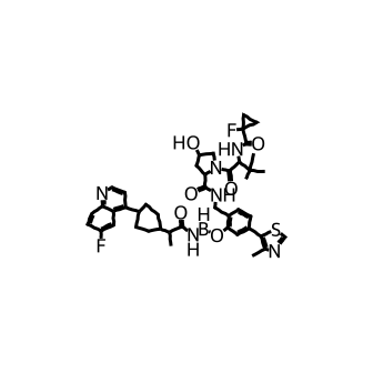 Cc1ncsc1-c1ccc(CNC(=O)C2CC(O)CN2C(=O)C(NC(=O)C2(F)CC2)C(C)(C)C)c(OBNC(=O)C(C)C2CCC(c3ccnc4ccc(F)cc34)CC2)c1